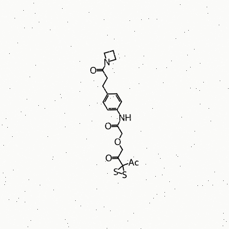 CC(=O)C1(C(=O)COCC(=O)Nc2ccc(CCC(=O)N3CCC3)cc2)SS1